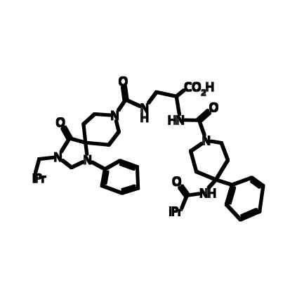 CC(C)CN1CN(c2ccccc2)C2(CCN(C(=O)NCC(NC(=O)N3CCC(NC(=O)C(C)C)(c4ccccc4)CC3)C(=O)O)CC2)C1=O